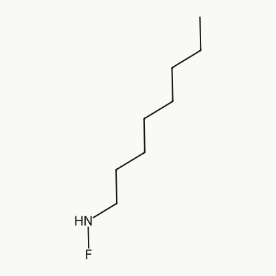 CCCCCCCCNF